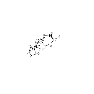 Cc1ccc(CN2C3CC2CN(C(C)C)C3)cn1